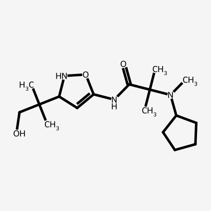 CN(C1CCCC1)C(C)(C)C(=O)NC1=CC(C(C)(C)CO)NO1